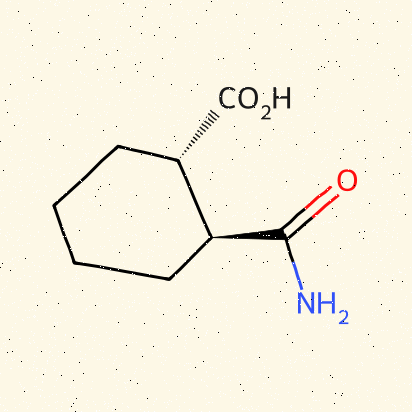 NC(=O)[C@H]1CCCC[C@@H]1C(=O)O